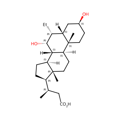 CC[C@H]1[C@@H](O)[C@@H]2[C@H](CC[C@]3(C)[C@@H]([C@H](C)CC(=O)O)CC[C@@H]23)[C@@]2(C)CC[C@H](O)C[C@@H]12